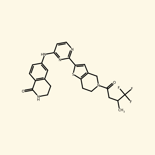 CC(CC(=O)N1CCc2sc(-c3nccc(Nc4ccc5c(c4)CCNC5=O)n3)cc2C1)C(F)(F)F